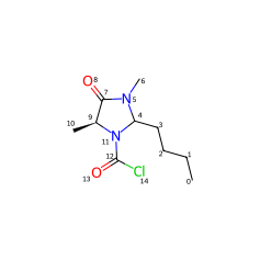 CCCCC1N(C)C(=O)[C@H](C)N1C(=O)Cl